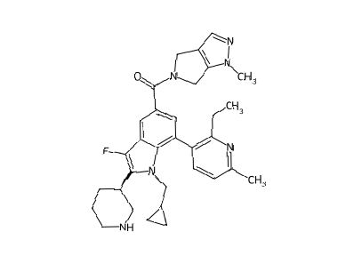 CCc1nc(C)ccc1-c1cc(C(=O)N2Cc3cnn(C)c3C2)cc2c(F)c([C@@H]3CCCNC3)n(CC3CC3)c12